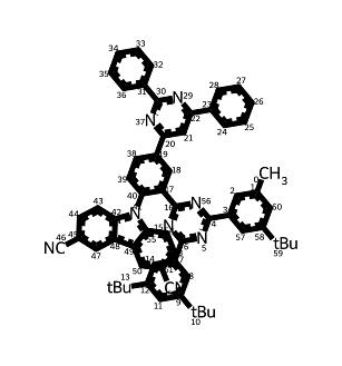 Cc1cc(-c2nc(-c3cc(C(C)(C)C)cc(C(C)(C)C)c3)nc(-c3cc(-c4cc(-c5ccccc5)nc(-c5ccccc5)n4)ccc3-n3c4ccc(C#N)cc4c4cc(C#N)ccc43)n2)cc(C(C)(C)C)c1